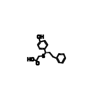 O=C(O)CSC(CCc1ccccc1)c1ccc(O)cc1